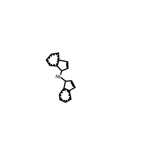 C1=C[CH]([Nb][CH]2C=Cc3ccccc32)c2ccccc21